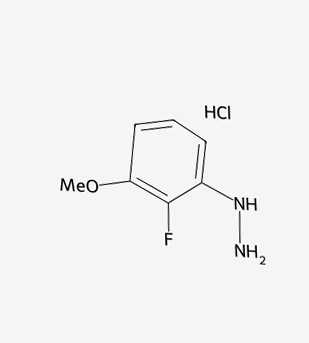 COc1cccc(NN)c1F.Cl